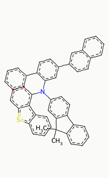 CC1(C)c2ccccc2-c2ccc(N(c3cc(-c4ccc5ccccc5c4)ccc3-c3ccccc3)c3cccc4sc5ccccc5c34)cc21